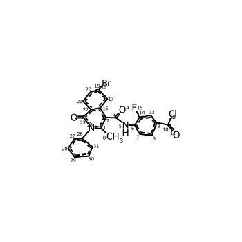 Cc1c(C(=O)Nc2ccc(C(=O)Cl)cc2F)c2cc(Br)ccc2c(=O)n1-c1ccccc1